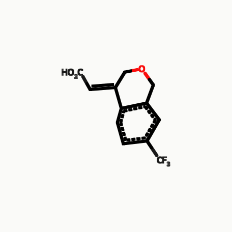 O=C(O)/C=C1\COCc2cc(C(F)(F)F)ccc21